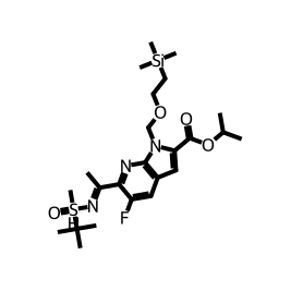 C/C(=N\[SH](C)(=O)C(C)(C)C)c1nc2c(cc1F)cc(C(=O)OC(C)C)n2COCC[Si](C)(C)C